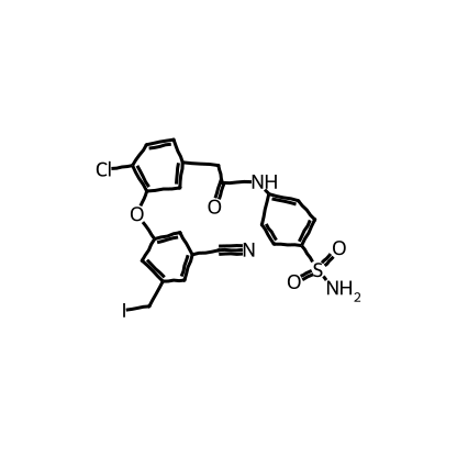 N#Cc1cc(CI)cc(Oc2cc(CC(=O)Nc3ccc(S(N)(=O)=O)cc3)ccc2Cl)c1